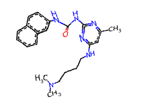 Cc1cc(NCCCCN(C)C)nc(NC(=O)Nc2ccc3ccccc3c2)n1